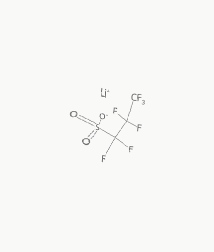 O=S(=O)([O-])C(F)(F)C(F)(F)C(F)(F)F.[Li+]